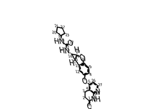 O=C1CCc2c(Oc3ccc4c(c3)[C@H]3[C@H](NC(=O)NC5CCCC5)[C@H]3O4)ccnc2N1